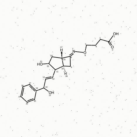 O=C(O)CCCON=C1C[C@H]2C(C=CC(O)c3ccccc3)C(O)C[C@H]12